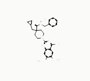 COc1cc2nc(N3CCC(CC4CC4)(C(=O)N(C)Cc4ccccc4)CC3)nc(O)c2cc1OC